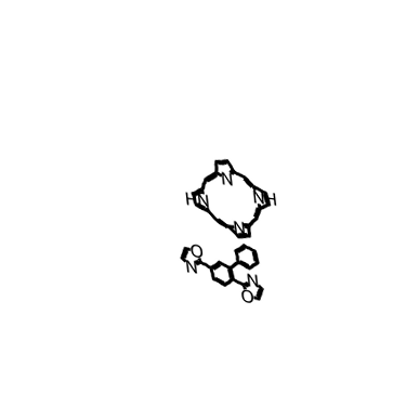 C1=Cc2cc3ccc(cc4nc(cc5ccc(cc1n2)[nH]5)C=C4)[nH]3.c1ccc(-c2cc(-c3ncco3)ccc2-c2ncco2)cc1